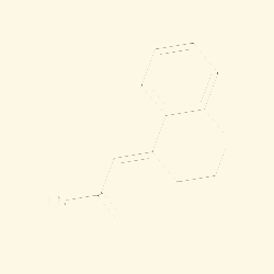 NC(=O)/C=C1\CCSc2ccccc21